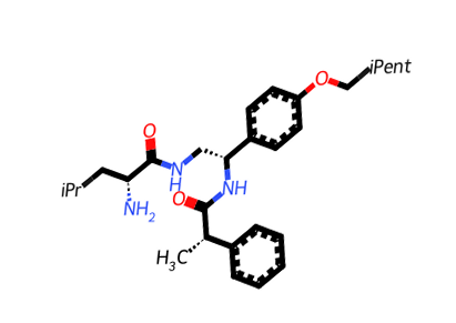 CCCC(C)COc1ccc([C@@H](CNC(=O)[C@H](N)CC(C)C)NC(=O)[C@@H](C)c2ccccc2)cc1